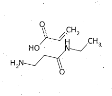 C=CC(=O)O.CCNC(=O)CCN